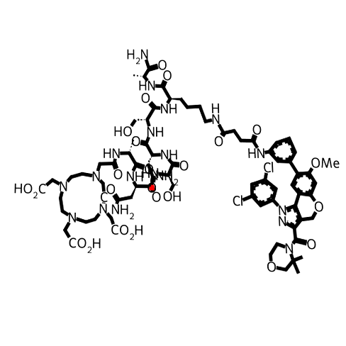 COc1cc2c(cc1-c1cccc(NC(=O)CCC(=O)NCCCC[C@@H](NC(=O)[C@@H](CO)NC(=O)[C@@H](CC(N)=O)NC(=O)[C@@H](CO)NC(=O)[C@@H](CC(N)=O)NC(=O)[C@@H](C)NC(=O)CN3CCN(CC(=O)O)CCN(CC(=O)O)CCN(CC(=O)O)CC3)C(=O)N[C@H](C)C(N)=O)c1)-c1c(c(C(=O)N3CCOCC3(C)C)nn1-c1cc(Cl)cc(Cl)c1)CO2